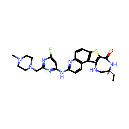 CC[C@@H]1CNc2c(sc3ccc4nc(Nc5cc(F)nc(CN6CCN(C)CC6)n5)ccc4c23)C(=O)N1